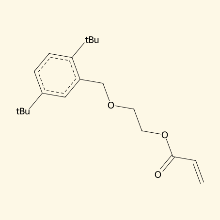 C=CC(=O)OCCOCc1cc(C(C)(C)C)ccc1C(C)(C)C